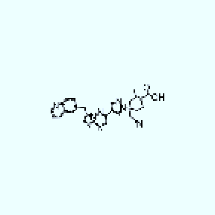 CC1CC(CC#N)(n2cc(-c3cnc4ncc(Cc5ccc6ncccc6c5)n4n3)cn2)CCN1C(=O)O